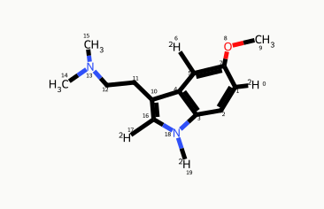 [2H]c1cc2c(c([2H])c1OC)c(CCN(C)C)c([2H])n2[2H]